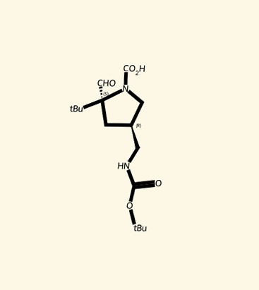 CC(C)(C)OC(=O)NC[C@@H]1CN(C(=O)O)[C@](C=O)(C(C)(C)C)C1